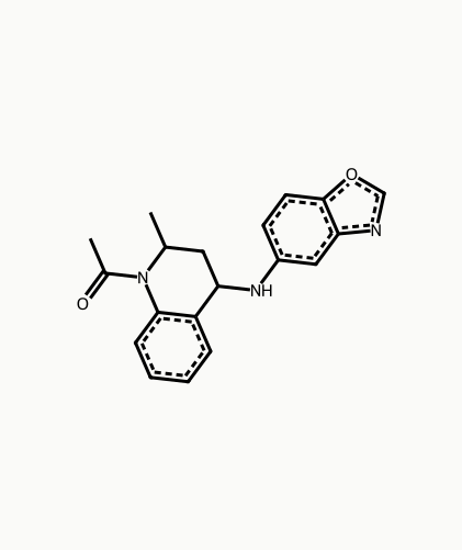 CC(=O)N1c2ccccc2C(Nc2ccc3ocnc3c2)CC1C